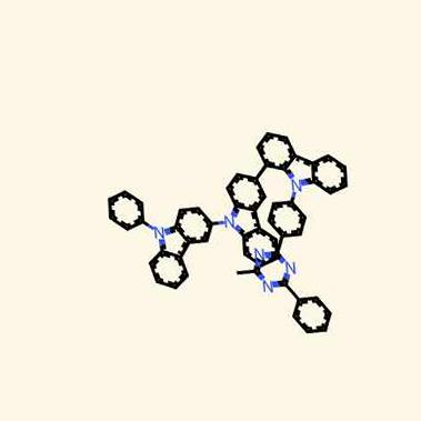 Cc1nc(-c2ccccc2)nc(-c2ccc(-n3c4ccccc4c4cccc(-c5ccc6c(c5)c5ccccc5n6-c5ccc6c(c5)c5ccccc5n6-c5ccccc5)c43)cc2)n1